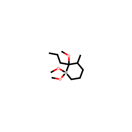 CCCC1(OC)C(C)CCC[Si]1(OC)OC